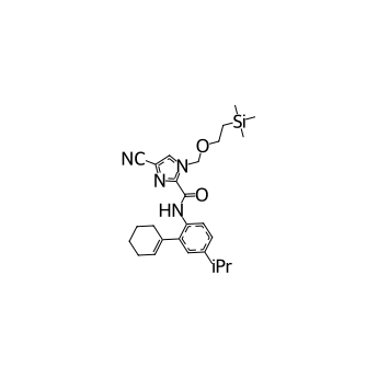 CC(C)c1ccc(NC(=O)c2nc(C#N)cn2COCC[Si](C)(C)C)c(C2=CCCCC2)c1